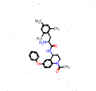 CC(=O)N1CC[C@H](NC(=O)[C@@H](N)Cc2c(C)cc(C)cc2C)c2cc(Oc3ccccc3)ccc21